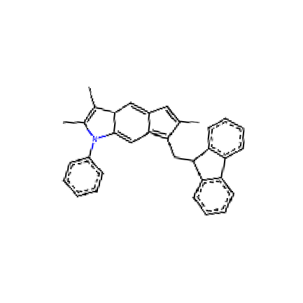 CC1=CC2=CC3C(=CC2=C1CC1c2ccccc2-c2ccccc21)N(c1ccccc1)C(C)=C3C